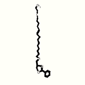 CCCCCCCC/C=C/CCCCCCCCSCC1COC(c2ccccc2)=N1